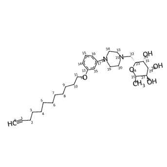 C#CCCCCCCCCCCOc1cccc(N2CCN(C[C@H]3OC(C)[C@H](O)[C@@H](O)[C@H]3O)CC2)c1